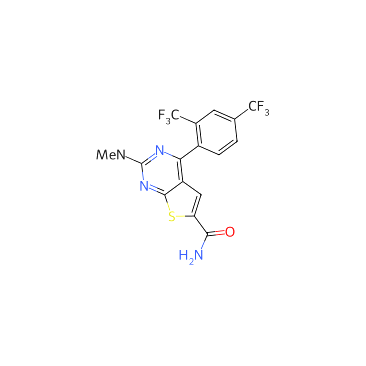 CNc1nc(-c2ccc(C(F)(F)F)cc2C(F)(F)F)c2cc(C(N)=O)sc2n1